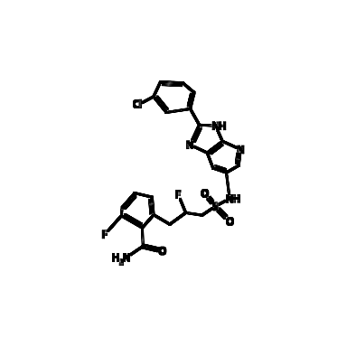 NC(=O)c1c(F)cccc1CC(F)CS(=O)(=O)Nc1cnc2[nH]c(-c3cccc(Cl)c3)nc2c1